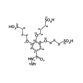 CCCNC(=O)c1cc(OCCCS(=O)(=O)O)c(OCCCS(=O)(=O)O)c(OCCCS(=O)(=O)O)c1